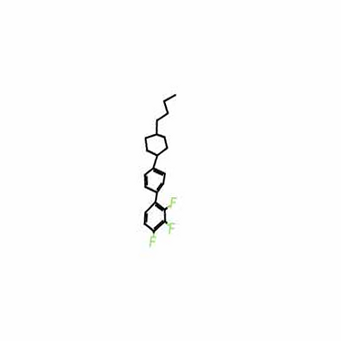 CCCCC1CCC(c2ccc(-c3ccc(F)c(F)c3F)cc2)CC1